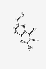 C=C(C(=O)O)C(=O)c1cccc(C=O)c1